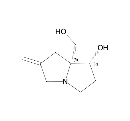 C=C1CN2CC[C@@H](O)[C@]2(CO)C1